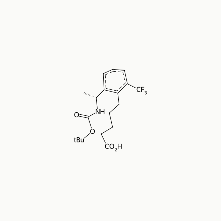 C[C@@H](NC(=O)OC(C)(C)C)c1cccc(C(F)(F)F)c1CCCCC(=O)O